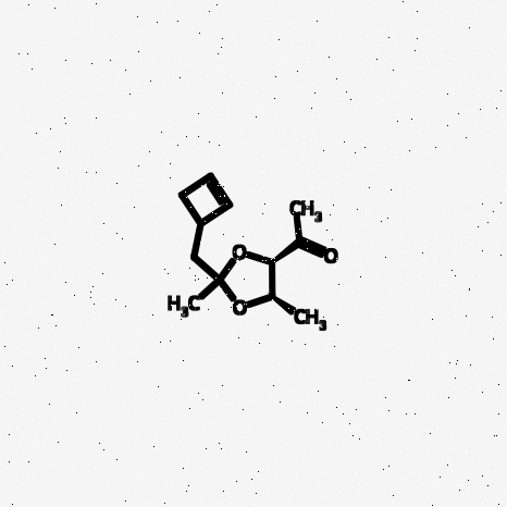 CC(=O)[C@@H]1OC(C)(CC2C=CC2)O[C@@H]1C